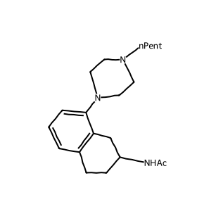 CCCCCN1CCN(c2cccc3c2CC(NC(C)=O)CC3)CC1